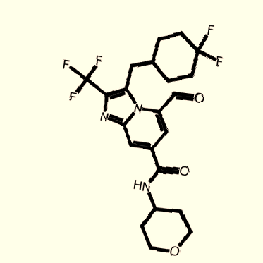 O=Cc1cc(C(=O)NC2CCOCC2)cc2nc(C(F)(F)F)c(CC3CCC(F)(F)CC3)n12